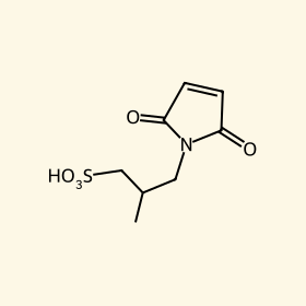 CC(CN1C(=O)C=CC1=O)CS(=O)(=O)O